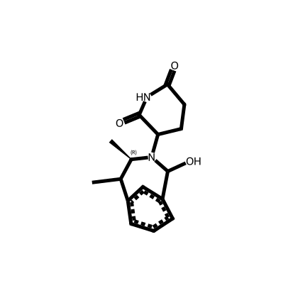 CC1c2cccc(c2)C(O)N(C2CCC(=O)NC2=O)[C@@H]1C